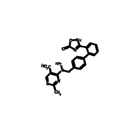 CCCN(Cc1ccc(-c2ccccc2-c2nc(=O)o[nH]2)cc1)c1nc(C)ncc1C(=O)O